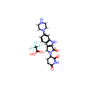 O=C(O)C(F)(F)F.O=C1CCC(N2Cc3c([nH]c4cc(N5CCNCC5)ccc34)C2=O)C(=O)N1